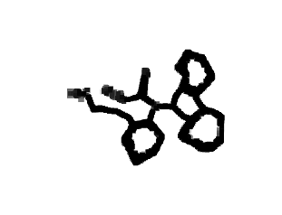 COC(=O)N(c1ccccc1CCC(=O)O)C1c2ccccc2-c2ccccc21